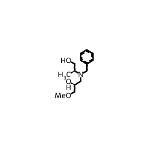 COC[C@@H](O)CN(Cc1ccccc1)[C@@H](C)CO